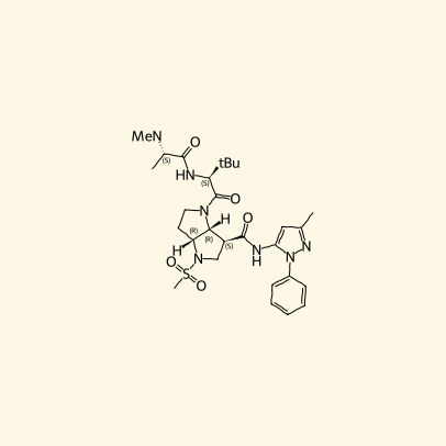 CN[C@@H](C)C(=O)N[C@H](C(=O)N1CC[C@@H]2[C@H]1[C@@H](C(=O)Nc1cc(C)nn1-c1ccccc1)CN2S(C)(=O)=O)C(C)(C)C